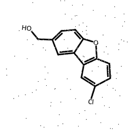 OCc1ccc2oc3ccc(Cl)cc3c2c1